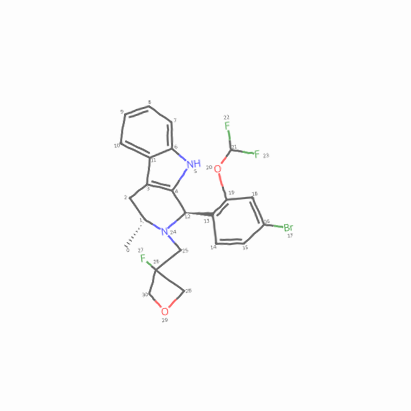 C[C@@H]1Cc2c([nH]c3ccccc23)[C@@H](c2ccc(Br)cc2OC(F)F)N1CC1(F)COC1